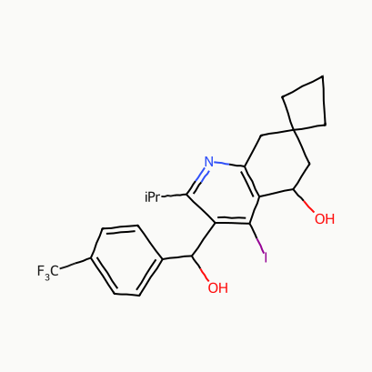 CC(C)c1nc2c(c(I)c1C(O)c1ccc(C(F)(F)F)cc1)C(O)CC1(CCC1)C2